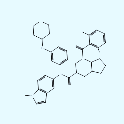 Cc1cccc(F)c1C(=O)N1C2CCCC2CC(C(=O)Nc2ccc3c(ccn3C)c2)[C@@H]1c1ccc(NC2CCOCC2)cc1